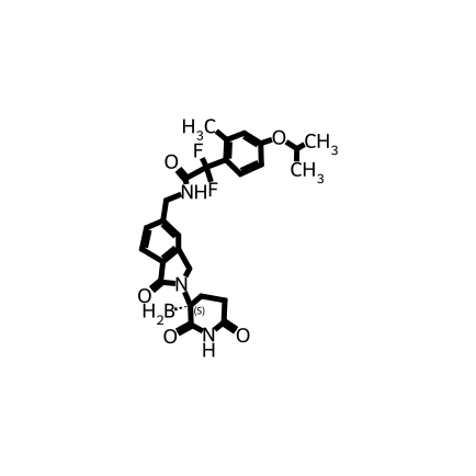 B[C@]1(N2Cc3cc(CNC(=O)C(F)(F)c4ccc(OC(C)C)cc4C)ccc3C2=O)CCC(=O)NC1=O